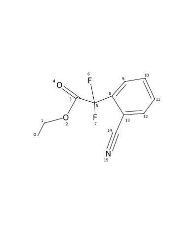 CCOC(=O)C(F)(F)c1ccccc1C#N